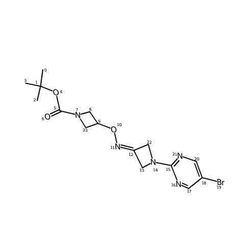 CC(C)(C)OC(=O)N1CC(ON=C2CN(c3ncc(Br)cn3)C2)C1